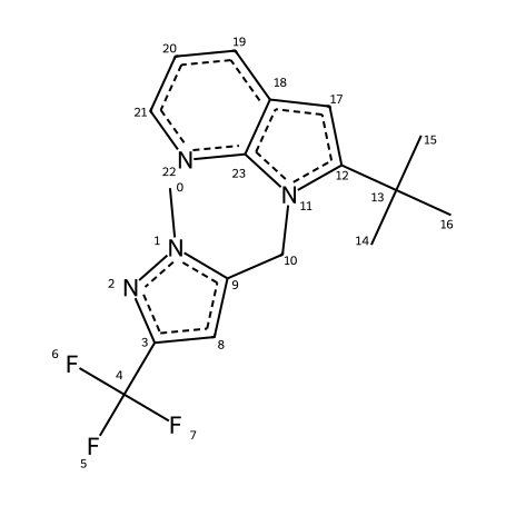 Cn1nc(C(F)(F)F)cc1Cn1c(C(C)(C)C)cc2cccnc21